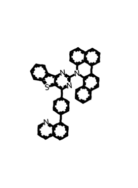 c1ccc2c3c(ccc2c1)-c1cccc2cccc(c12)N3c1nc(-c2ccc(-c3cccc4cccnc34)cc2)c2sc3ccccc3c2n1